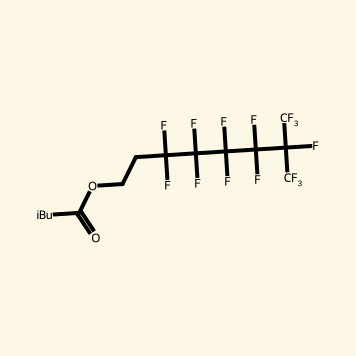 CCC(C)C(=O)OCCC(F)(F)C(F)(F)C(F)(F)C(F)(F)C(F)(C(F)(F)F)C(F)(F)F